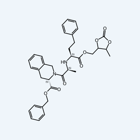 CC1OC(=O)OC1COC(=O)[C@H](CCc1ccccc1)N[C@@H](C)C(=O)N1Cc2ccccc2C[C@H]1C(=O)OCc1ccccc1